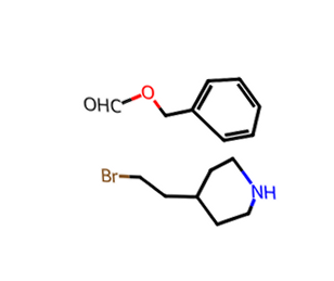 BrCCC1CCNCC1.O=COCc1ccccc1